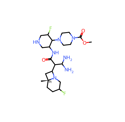 COC(=O)N1CCN(C2C(F)CNCC2NC(=O)C(C(N)N)C2C[C@@]3(C)CCC(F)CN23)CC1